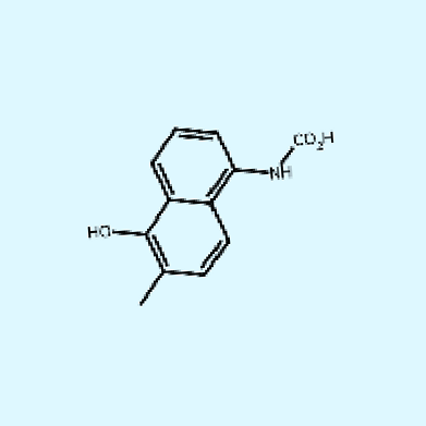 Cc1ccc2c(NC(=O)O)cccc2c1O